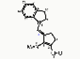 CNC1=C(C=O)CC/C1=C\N1CCc2ccccc21